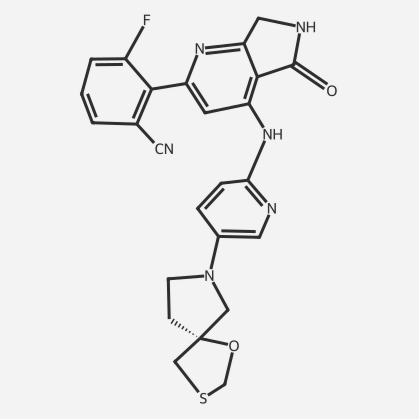 N#Cc1cccc(F)c1-c1cc(Nc2ccc(N3CC[C@]4(CSCO4)C3)cn2)c2c(n1)CNC2=O